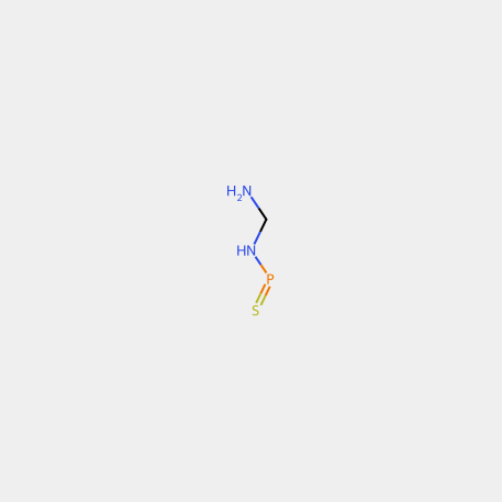 NCNP=S